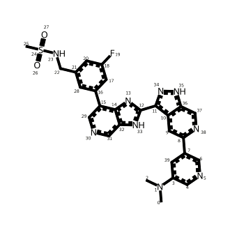 CN(C)c1cncc(-c2cc3c(-c4nc5c(-c6cc(F)cc(CNS(C)(=O)=O)c6)cncc5[nH]4)n[nH]c3cn2)c1